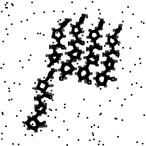 Cc1cnc(NC(=O)C2CCN(C#N)C2)s1.N#CN1CCC(C(=O)Nc2ncc(-c3ccc(Cl)cc3)s2)C1.N#CN1CCC(C(=O)Nc2ncc(-c3cccc(Cl)c3)s2)C1.N#CN1CCC(C(=O)Nc2ncc(-c3ccccc3Cl)s2)C1.N#CN1CCC(C(=O)Nc2ncc(-c3ccccc3F)s2)C1